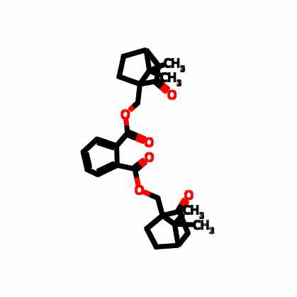 CC1(C)C2CCC1(COC(=O)c1ccccc1C(=O)OCC13CCC(CC1=O)C3(C)C)C(=O)C2